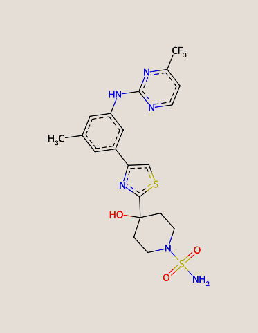 Cc1cc(Nc2nccc(C(F)(F)F)n2)cc(-c2csc(C3(O)CCN(S(N)(=O)=O)CC3)n2)c1